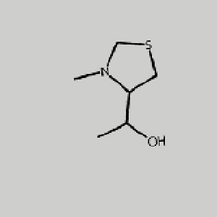 CC(O)C1CSCN1C